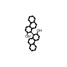 Oc1ccc2c(ccc3ccccc32)c1-c1c(O)ccc2c1ccc1ccccc12